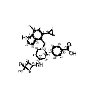 Cc1cc(C2CC2)c(CN2CC[C@@H](NC3CC(F)(F)C3)C[C@H]2c2ccc(C(=O)O)cc2)c2cc[nH]c12